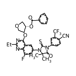 CCc1nc(O[C@H]2COC[C@@H]2OC(=O)c2ccccc2)c2cc(N3C(=S)N(c4ccc(C#N)c(C(F)(F)F)c4)C(=O)C3(C)C)cc(F)c2n1